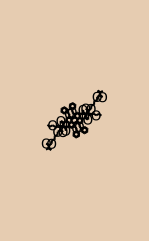 C=C(C)C(=O)OCCCCOC(=O)C(CCOCC)N1C(=O)c2cc(Oc3ccccc3)c3c4c(Oc5ccccc5)cc5c6c(cc(Oc7ccccc7)c(c7c(Oc8ccccc8)cc(c2c37)C1=O)c64)C(=O)N(C(CCOCC)C(=O)OCCCCOC(=O)C(=C)C)C5=O